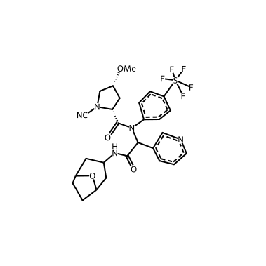 CO[C@@H]1C[C@H](C(=O)N(c2ccc(S(F)(F)(F)(F)F)cc2)C(C(=O)NC2CC3CCC(C2)O3)c2cccnc2)N(C#N)C1